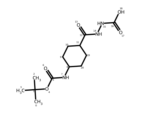 CC(C)(C)OC(=O)NC1CCC(C(=O)NNC(=O)O)CC1